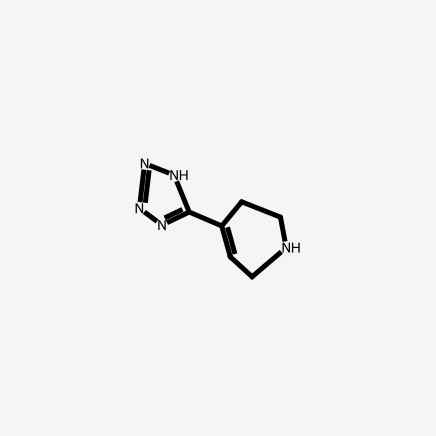 C1=C(c2nnn[nH]2)CCNC1